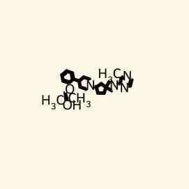 Cc1nccnc1N1CC2(CCC(N3CCC(c4ccccc4OCC(C)(C)O)CC3)C2)C1